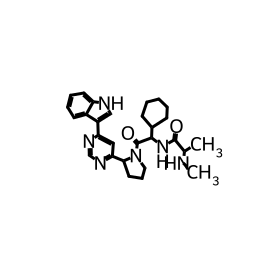 CNC(C)C(=O)NC(C(=O)N1CCCC1c1cc(-c2c[nH]c3ccccc23)ncn1)C1CCCCC1